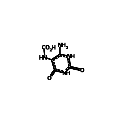 Nc1[nH]c(=O)[nH]c(=O)c1NC(=O)O